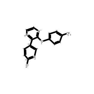 FC(F)(F)c1ccc(Oc2nccnc2-c2ccc(Cl)nc2)cc1